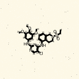 CCS(=O)(=O)N1CCc2c(cccc2Nc2nc(Nc3cc(OC)c(OC)c(OC)c3)ncc2Cl)C1